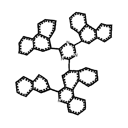 c1ccc2cc(-c3nc4ccccc4c4c3cc(-c3nc(-c5cc6ccccc6c6ccccc56)nc(-c5cc6ccccc6c6ccccc56)n3)c3ccccc34)ccc2c1